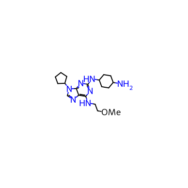 COCCNc1nc(NC2CCC(N)CC2)nc2c1ncn2C1CCCC1